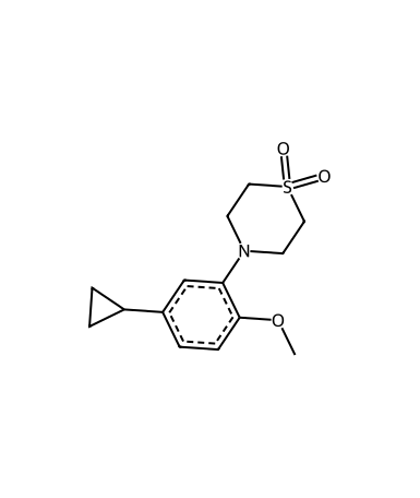 COc1ccc(C2CC2)cc1N1CCS(=O)(=O)CC1